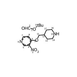 CC(C)(C)OC=O.O=[N+]([O-])c1cnccc1OCC1CCNCC1